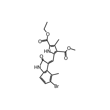 CCOC(=O)c1[nH]c(C=C2C(=O)Nc3ccc(Br)c(C)c32)c(C(=O)OC)c1C